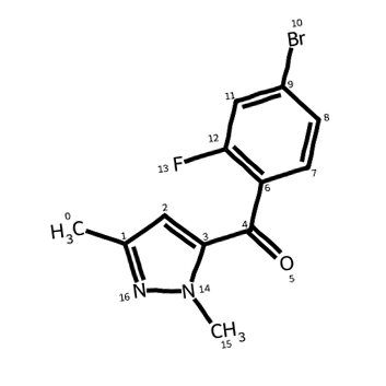 Cc1cc(C(=O)c2ccc(Br)cc2F)n(C)n1